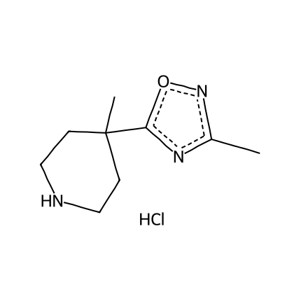 Cc1noc(C2(C)CCNCC2)n1.Cl